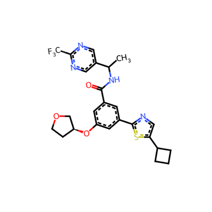 CC(NC(=O)c1cc(O[C@H]2CCOC2)cc(-c2ncc(C3CCC3)s2)c1)c1cnc(C(F)(F)F)nc1